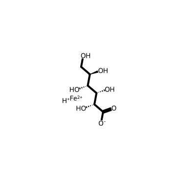 O=C([O-])[C@H](O)[C@@H](O)[C@H](O)[C@H](O)CO.[Fe+2].[H+]